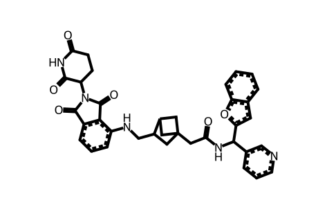 O=C1CCC(N2C(=O)c3cccc(NCC4CC5(CC(=O)NC(c6cccnc6)c6cc7ccccc7o6)CC4C5)c3C2=O)C(=O)N1